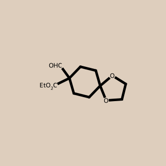 CCOC(=O)C1(C=O)CCC2(CC1)OCCO2